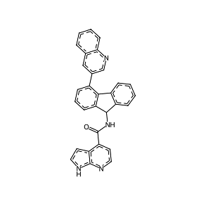 O=C(NC1c2ccccc2-c2c(-c3cnc4ccccc4c3)cccc21)c1ccnc2[nH]ccc12